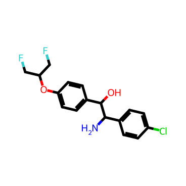 NC(c1ccc(Cl)cc1)C(O)c1ccc(OC(CF)CF)cc1